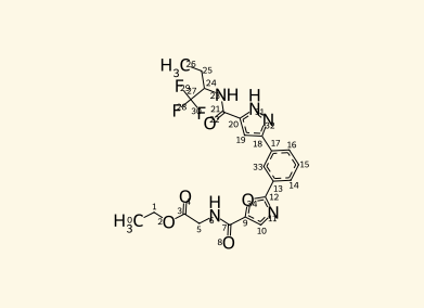 CCOC(=O)CNC(=O)c1cnc(-c2cccc(-c3cc(C(=O)NC(CC)C(F)(F)F)[nH]n3)c2)o1